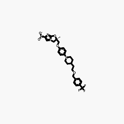 C[C@]1(COc2ccc(N3CCC(CCOCc4ccc(C(F)(F)F)cc4)CC3)cc2)Cn2cc([N+](=O)[O-])nc2O1